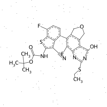 CCSc1nc(O)c2c3c(c(-c4ccc(F)c5sc(NC(=O)OC(C)(C)C)c(C#N)c45)c(F)c2n1)COC3